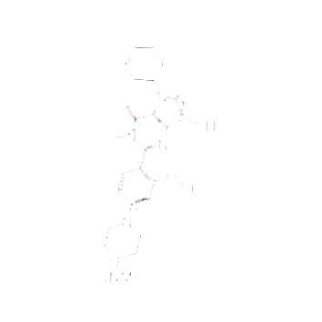 CCOc1cc(N2CCC(NC)CC2)ccc1-c1nc2c(C)nn(C3CCCCC3)c2c(=O)[nH]1